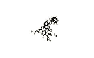 COCCOc1cc(C(=O)N(C(C)C)[C@@H]2CCCNC2)nc2c(OC(=O)C34CC5CC(CC(C5)C3)C4)cccc12